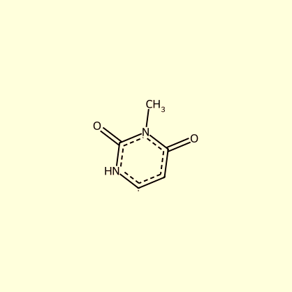 Cn1c(=O)c[c][nH]c1=O